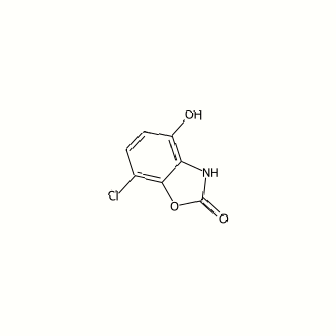 O=c1[nH]c2c(O)ccc(Cl)c2o1